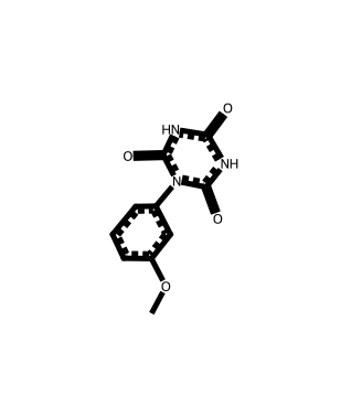 COc1cccc(-n2c(=O)[nH]c(=O)[nH]c2=O)c1